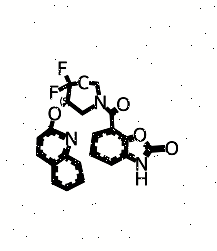 O=C(c1cccc2[nH]c(=O)oc12)N1CCC(F)(F)[C@@H](Oc2ccc3ccccc3n2)C1